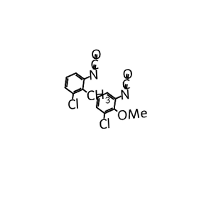 COc1c(Cl)cccc1N=C=O.Cc1c(Cl)cccc1N=C=O